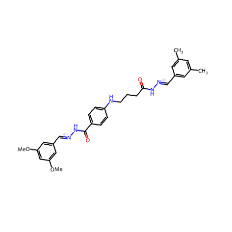 COc1cc(/C=N/NC(=O)c2ccc(NCCCC(=O)N/N=C/c3cc(C)cc(C)c3)cc2)cc(OC)c1